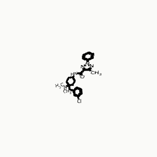 Cc1nn(-c2ccccc2)nc1C(=O)NC1CCC(Cc2cccc(Cl)c2)(N(C)C)CC1